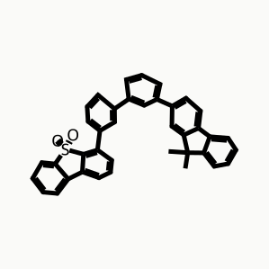 CC1(C)c2ccccc2-c2ccc(-c3cccc(-c4cccc(-c5cccc6c5S(=O)(=O)c5ccccc5-6)c4)c3)cc21